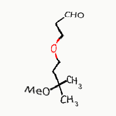 COC(C)(C)CCOCCC=O